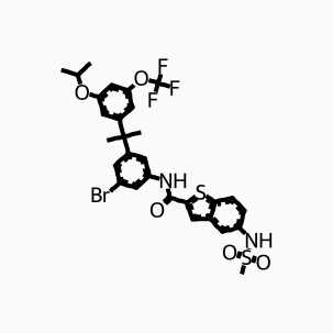 CC(C)Oc1cc(OC(F)(F)F)cc(C(C)(C)c2cc(Br)cc(NC(=O)c3cc4cc(NS(C)(=O)=O)ccc4s3)c2)c1